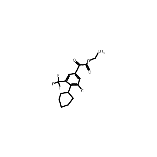 CCOC(=O)C(=O)c1cc(Cl)c(C2CCCCC2)c(C(F)(F)F)c1